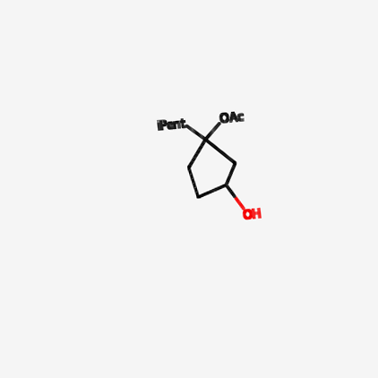 CCCC(C)C1(OC(C)=O)CCC(O)C1